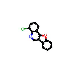 Clc1cccc2c1ncc1c3ccccc3oc21